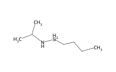 CCCC[SiH2]NC(C)C